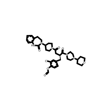 O=COc1ccc(C[C@@H](CC(=O)N2CCC(N3CCc4ccccc4NC3=O)CC2)C(=O)N2CCN(C3CCOCC3)CC2)cc1Cl